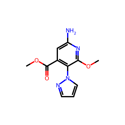 COC(=O)c1cc(N)nc(OC)c1-n1cccn1